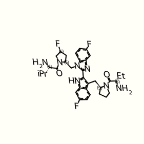 CC[C@H](N)C(=O)N1CCC[C@H]1Cc1c(-c2nc3cc(F)ccc3n2C[C@@H]2C[C@H](F)CN2C(=O)[C@@H](N)C(C)C)[nH]c2cc(F)ccc12